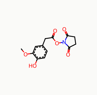 COc1cc(CC(=O)ON2C(=O)CCC2=O)ccc1O